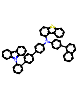 c1ccc(-n2c3ccccc3c3ccccc32)c(-c2ccc(-c3ccc(N(c4ccc(-c5cccc6ccccc56)cc4)c4cccc5sc6ccccc6c45)cc3)cc2)c1